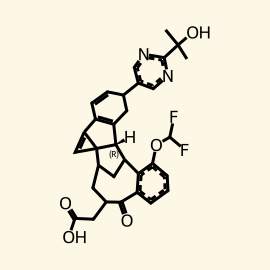 CC(C)(O)c1ncc(C2C=CC3=C(C2)[C@@H]2C4CC(CC(CC(=O)O)C(=O)c5cccc(OC(F)F)c54)C24C=C34)cn1